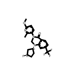 COc1ccc(N2CN([C@@H]3CC[C@@H](F)C3)c3cc(C(F)(F)F)ccc3C2=O)c(C)n1